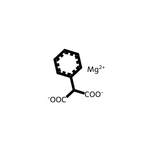 O=C([O-])C(C(=O)[O-])c1ccccc1.[Mg+2]